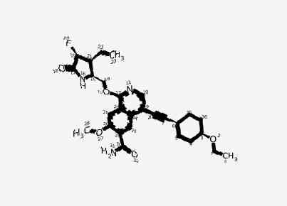 CCO[C@H]1CC[C@@H](C#Cc2cnc(OC[C@H]3NC(=O)[C@@H](F)[C@H]3CC)c3cc(OC)c(C(N)=O)cc23)CC1